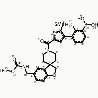 CSc1sc(C(=O)N2CCC3(CC2)COc2ccc(CNC(=O)OC(C)(C)C)cc23)cc1-c1cccc(B(O)O)c1C